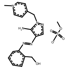 COS(=O)(=O)[O-].C[n+]1ccc(Cn2ncc(N=Nc3ccccc3CO)c2N)cc1